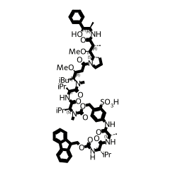 CC[C@H](C)[C@@H]([C@@H](CC(=O)N1CCC[C@H]1[C@H](OC)[C@@H](C)C(=O)N[C@H](C)[C@@H](O)c1ccccc1)OC)N(C)C(=O)[C@@H](NC(=O)[C@H](C(C)C)N(C)C(=O)OCc1ccc(NC(=O)[C@H](C)NC(=O)[C@@H](NC(=O)OCC2c3ccccc3-c3ccccc32)C(C)C)cc1S(=O)(=O)O)C(C)C